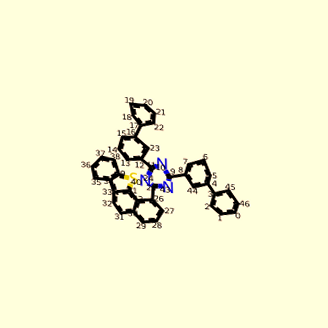 c1ccc(-c2cccc(-c3nc(-c4cccc(-c5ccccc5)c4)nc(-c4cccc5ccc6c7ccccc7sc6c45)n3)c2)cc1